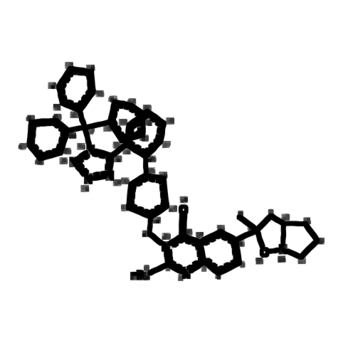 CCCCc1nc2ccc(C3(C)CC4CCCN4O3)cc2c(=O)n1Cc1ccc(-c2ccccc2-c2nnnn2C(c2ccccc2)(c2ccccc2)c2ccccc2)cc1